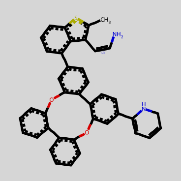 Cc1sc2cccc(-c3ccc4c(c3)Oc3ccccc3-c3ccccc3Oc3cc(C5=CC=CCN5)ccc3-4)c2c1/C=C\N